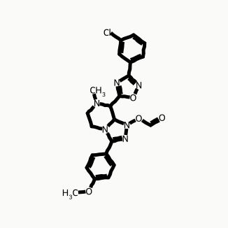 COc1ccc(C2=NN(OC=O)C3C(c4nc(-c5cccc(Cl)c5)no4)N(C)CCN23)cc1